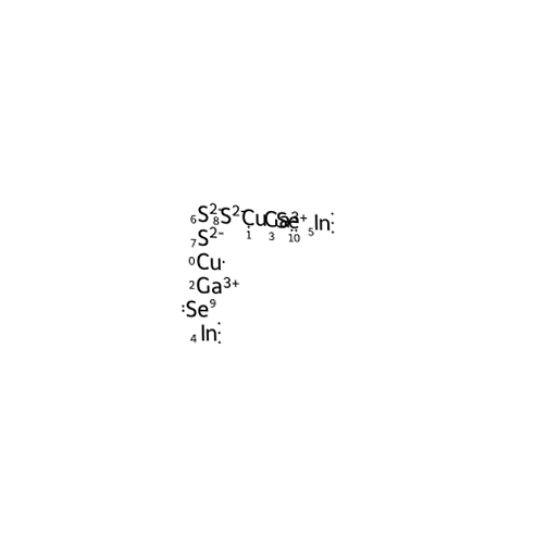 [Cu].[Cu].[Ga+3].[Ga+3].[In].[In].[S-2].[S-2].[S-2].[Se].[Se]